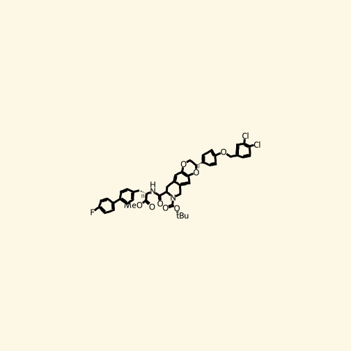 COC(=O)[C@H](Cc1ccc(-c2ccc(F)cc2)cc1)NC(=O)C1Cc2cc3c(cc2CN1C(=O)OC(C)(C)C)O[C@@H](c1ccc(OCc2ccc(Cl)c(Cl)c2)cc1)CO3